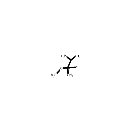 COC(C)(F)C(C)N